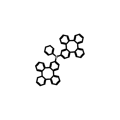 C1=CCC2C(=C1)c1ccccc1-c1ccc(N(C3=CCCC=C3)c3ccc4c(c3)-c3ccccc3-c3ccccc3-c3ccccc3-4)cc1-c1ccccc12